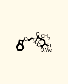 CCC(CC(C)(C)C(=O)OCCOC1Cc2ccccc21)C(=O)OC